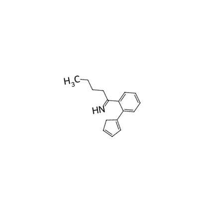 CCCCC(=N)c1ccccc1C1=CC=CC1